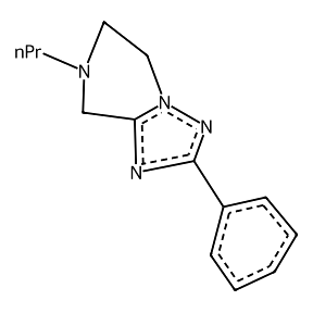 CCCN1CCn2nc(-c3ccccc3)nc2C1